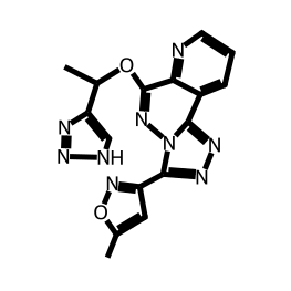 Cc1cc(-c2nnc3c4cccnc4c(OC(C)c4c[nH]nn4)nn23)no1